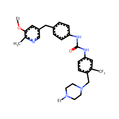 CCOc1cc(Cc2ccc(NC(=O)Nc3ccc(CN4CCN(CC)CC4)c(C(F)(F)F)c3)cc2)cnc1C